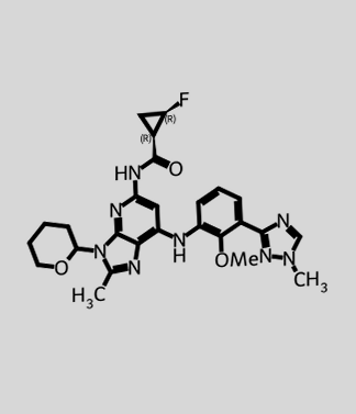 COc1c(Nc2cc(NC(=O)[C@H]3C[C@H]3F)nc3c2nc(C)n3C2CCCCO2)cccc1-c1ncn(C)n1